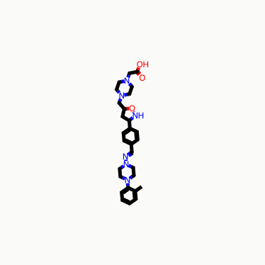 Cc1ccccc1N1CCN(N=Cc2ccc(C3CC(CN4CCN(CC(=O)O)CC4)ON3)cc2)CC1